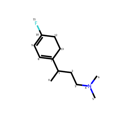 CC(CCN(C)C)C1=CC=C(F)CC1